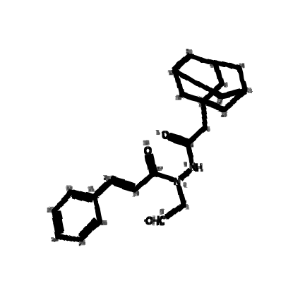 O=[C]CN(NC(=O)CC12CC3CC(CC(C3)C1)C2)C(=O)C=Cc1ccccc1